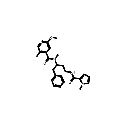 COc1cc(C(=O)N(C)C(CCNC(=O)c2cccn2C)Cc2ccccc2)c(C)cn1